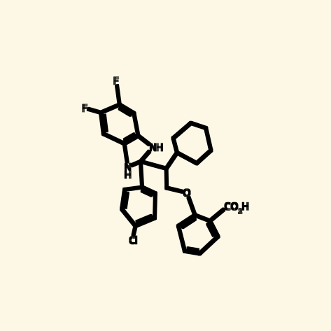 O=C(O)c1ccccc1OCC(C1CCCCC1)C1(c2ccc(Cl)cc2)Nc2cc(F)c(F)cc2N1